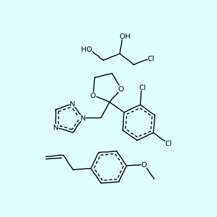 C=CCc1ccc(OC)cc1.Clc1ccc(C2(Cn3cncn3)OCCO2)c(Cl)c1.OCC(O)CCl